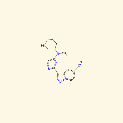 CN(c1ccnc(-c2cnn3ccc(C#N)cc23)n1)C1CCCNC1